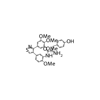 COc1ccc(-c2csnc2-c2cc(OC)c(OC)c(OC)c2)cc1NC(=O)[C@@H](N)Cc1ccc(O)cc1